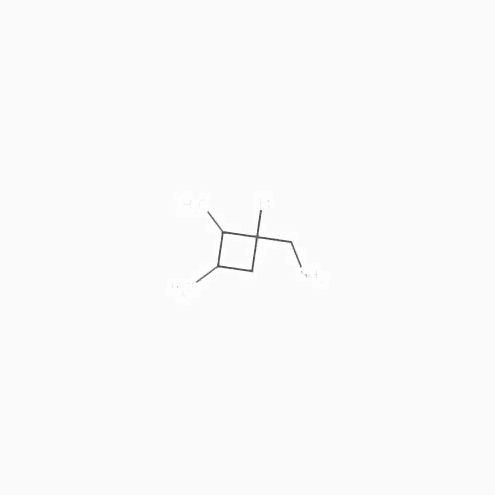 CCC1(CN)CC(C)C1C